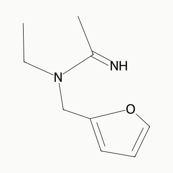 CCN(Cc1ccco1)C(C)=N